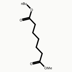 CCCCOC(=O)CCCCCC(=O)OC